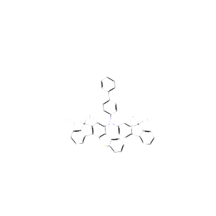 CC1(C)c2ccccc2-c2ccc(N(c3ccc(-c4ccccc4)cc3)c3cc4c(c5sc6ccccc6c35)-c3ccccc3C4(C)C)cc21